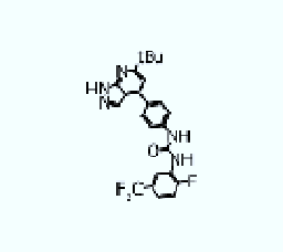 CC(C)(C)c1cc(-c2ccc(NC(=O)Nc3cc(C(F)(F)F)ccc3F)cc2)c2cn[nH]c2n1